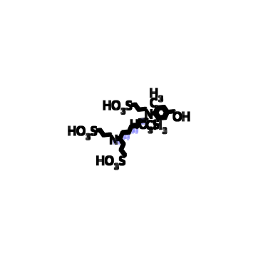 C\C(=C/C=C/C=C/C(CCCS(=O)(=O)O)=N\CCCS(=O)(=O)O)N(CCCS(=O)(=O)O)c1c(C)cc(CO)cc1S(=O)(=O)O